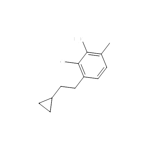 Cc1ccc(CCC2CC2)c(Cl)c1P